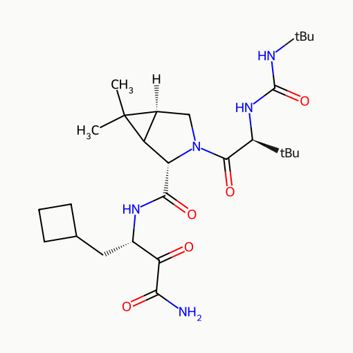 CC(C)(C)NC(=O)N[C@H](C(=O)N1C[C@H]2C([C@H]1C(=O)N[C@@H](CC1CCC1)C(=O)C(N)=O)C2(C)C)C(C)(C)C